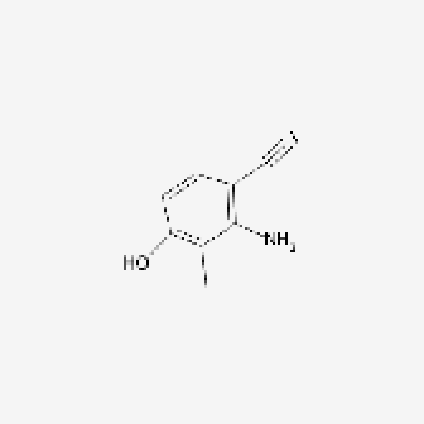 Cc1c(O)ccc(C#N)c1N